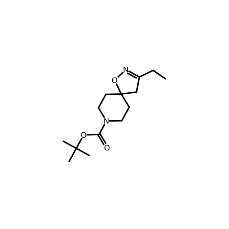 CCC1=NOC2(CCN(C(=O)OC(C)(C)C)CC2)C1